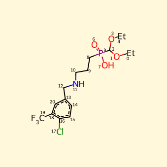 CCOC(OCC)P(=O)(O)CCCNCc1ccc(Cl)c(C(F)(F)F)c1